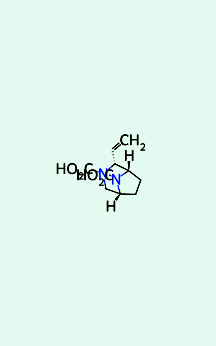 C=C[C@@H]1[C@@H]2CC[C@H](CN1C(=O)O)N2C(=O)O